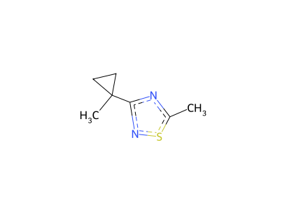 Cc1nc(C2(C)CC2)ns1